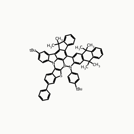 CC(C)(C)c1ccc(N2B3c4sc5cc(-c6ccccc6)ccc5c4-n4c5ccc(C(C)(C)C)cc5c5c6c(c(c3c54)-c3cc4c(cc32)C(C)(C)c2ccccc2C4(C)C)-c2ccccc2C6(C)C)cc1